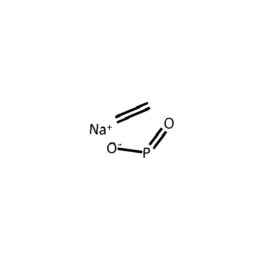 C=C.O=P[O-].[Na+]